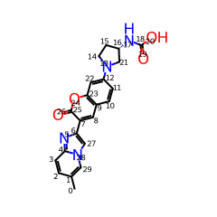 Cc1ccc2nc(-c3cc4ccc(N5CC[C@H](NC(=O)O)C5)cc4oc3=O)cn2c1